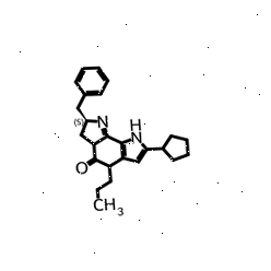 CCCC1C(=O)C2C[C@@H](Cc3ccccc3)N=C2c2[nH]c(C3CCCC3)cc21